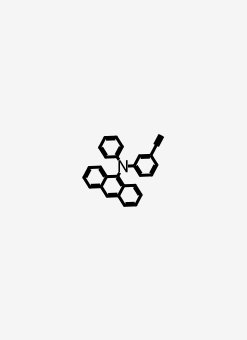 C#Cc1cccc(N(c2ccccc2)c2c3ccccc3cc3ccccc23)c1